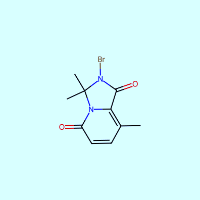 Cc1ccc(=O)n2c1C(=O)N(Br)C2(C)C